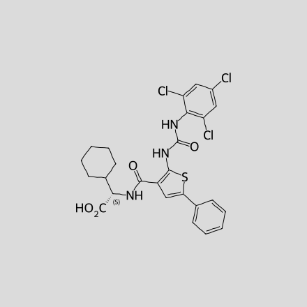 O=C(Nc1sc(-c2ccccc2)cc1C(=O)N[C@H](C(=O)O)C1CCCCC1)Nc1c(Cl)cc(Cl)cc1Cl